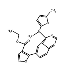 CCOC(=O)c1ccoc1-c1ccc2ncnc(N(C)c3ccc(C)o3)c2c1